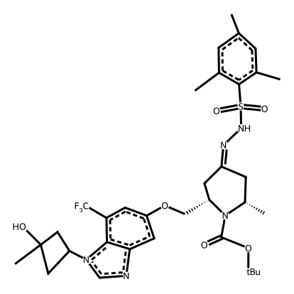 Cc1cc(C)c(S(=O)(=O)NN=C2C[C@@H](COc3cc(C(F)(F)F)c4c(c3)ncn4C3CC(C)(O)C3)N(C(=O)OC(C)(C)C)[C@@H](C)C2)c(C)c1